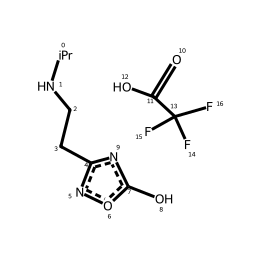 CC(C)NCCc1noc(O)n1.O=C(O)C(F)(F)F